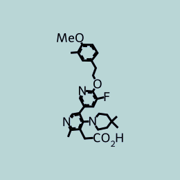 COc1ccc(CCOc2ncc(-c3cnc(C)c(CC(=O)O)c3N3CCC(C)(C)CC3)cc2F)cc1C